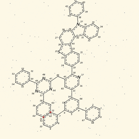 c1ccc(-c2cc(-c3ccccc3)cc(-c3cnc(-c4ccc5c(c4)sc4ccc6c(c7ccccc7n6-c6ccccc6)c45)c(Cc4nc(-c5ccccc5)nc(-c5ccccc5)n4)c3)c2)cc1